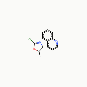 CC1CN=C(Cl)O1.c1ccc2ncccc2c1